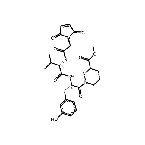 COC(=O)C1CCCN(C(=O)[C@H](Cc2cccc(O)c2)NC(=O)[C@@H](NC(=O)CN2C(=O)C=CC2=O)C(C)C)N1